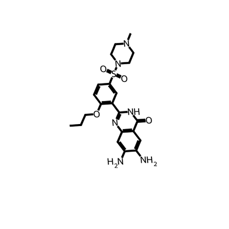 CCCOc1ccc(S(=O)(=O)N2CCN(C)CC2)cc1-c1nc2cc(N)c(N)cc2c(=O)[nH]1